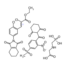 CCOC(=O)/C(Cl)=C/c1cc(N2C(=O)C3=C(CCCC3)C2=O)ccc1Cl.CS(=O)(=O)c1ccc(C(=O)C2C(=O)CCCC2=O)c([N+](=O)[O-])c1.O=C(O)CNCP(=O)(O)O